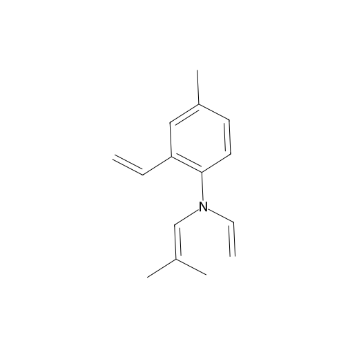 C=Cc1cc(C)ccc1N(C=C)C=C(C)C